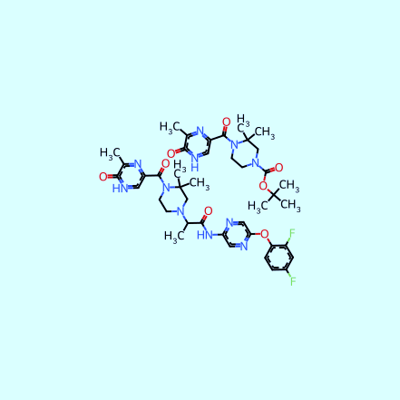 Cc1nc(C(=O)N2CCN(C(=O)OC(C)(C)C)CC2(C)C)c[nH]c1=O.Cc1nc(C(=O)N2CCN(C(C)C(=O)Nc3cnc(Oc4ccc(F)cc4F)cn3)CC2(C)C)c[nH]c1=O